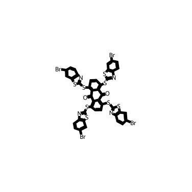 O=C1c2c(Sc3nc4ccc(Br)cc4s3)ccc(Sc3nc4ccc(Br)cc4s3)c2C(=O)c2c(Sc3nc4ccc(Br)cc4s3)ccc(Sc3nc4ccc(Br)cc4s3)c21